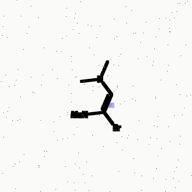 CN/C(Br)=C\N(C)C